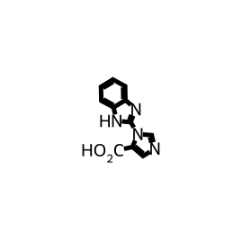 O=C(O)c1cncn1-c1nc2ccccc2[nH]1